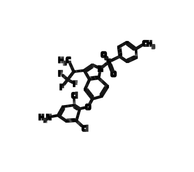 Cc1ccc(S(=O)(=O)n2cc(C(C)C(F)(F)F)c3cc(Oc4c(Cl)cc(N)cc4Cl)ccc32)cc1